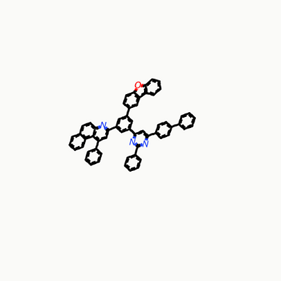 c1ccc(-c2ccc(-c3cc(-c4cc(-c5ccc6oc7ccccc7c6c5)cc(-c5cc(-c6ccccc6)c6c(ccc7ccccc76)n5)c4)nc(-c4ccccc4)n3)cc2)cc1